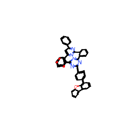 c1ccc(-c2cc(-c3ccccc3)nc(-c3ccccc3-c3nc(-c4ccccc4)nc(-c4ccc(-c5cccc6c5oc5ccccc56)cc4)n3)n2)cc1